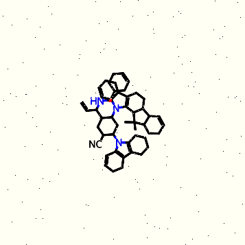 C=CC(NCC1CC=CCC1)C1CC(C#N)C(n2c3c(c4c2CCCC4)CCC=C3)CC1N1C2=C(CCC3C4C=CCCC4C(C)(C)C23)C2CCC=CC21